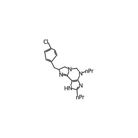 CCCc1nc2c([nH]1)C1=NC(Cc3ccc(Cl)cc3)CN1CN2CCC